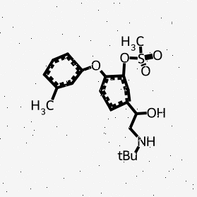 Cc1cccc(Oc2ccc(C(O)CNC(C)(C)C)cc2OS(C)(=O)=O)c1